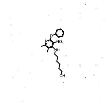 Cc1nc(Oc2ccccc2)c([N+](=O)[O-])c(NCCCCCCO)c1C